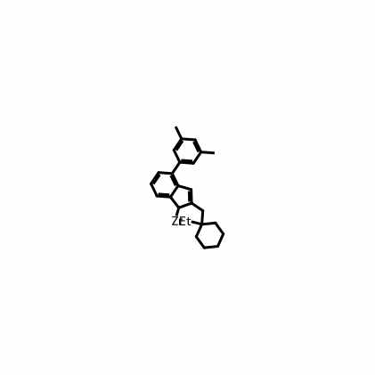 CCC1(CC2=Cc3c(-c4cc(C)cc(C)c4)cccc3[CH]2[Zr])CCCCC1